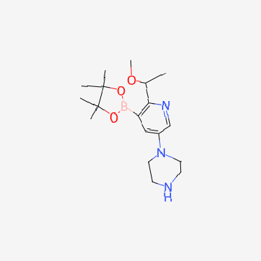 COC(C)c1ncc(N2CCNCC2)cc1B1OC(C)(C)C(C)(C)O1